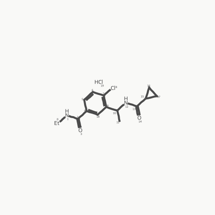 CCNC(=O)c1ccc(Cl)c(C(C)NC(=O)C2CC2)c1.Cl